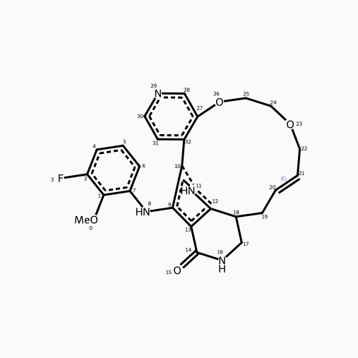 COc1c(F)cccc1Nc1c2[nH]c3c1C(=O)NCC3C/C=C/COCCOc1cnccc1-2